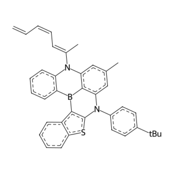 C=C/C=C\C=C(/C)N1c2ccccc2B2c3c1cc(C)cc3N(c1ccc(C(C)(C)C)cc1)c1sc3ccccc3c12